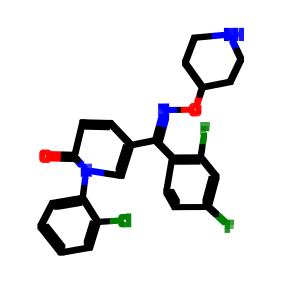 O=c1ccc(C(=NOC2CCNCC2)c2ccc(F)cc2F)cn1-c1ccccc1Cl